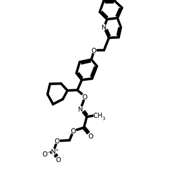 C/C(=N\OC(c1ccc(OCc2ccc3ccccc3n2)cc1)C1CCCCC1)C(=O)OCO[N+](=O)[O-]